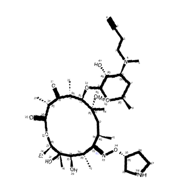 C#CCCN(C)[C@H]1C[C@@H](C)OC(O[C@@H]2[C@@H](C)C(=O)[C@@H](C)C(=O)O[C@H](CC)[C@@](C)(O)[C@H](O)[C@@H](C)/C(=N/O[C@@H]3CCNC3)[C@H](C)C[C@@]2(C)OC)[C@@H]1O